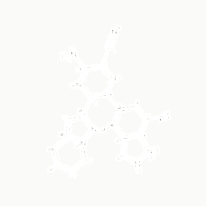 N#Cc1nc(-c2cc(Cl)c3[nH]ncc3c2)c(-c2cc3ccccn3n2)nc1N